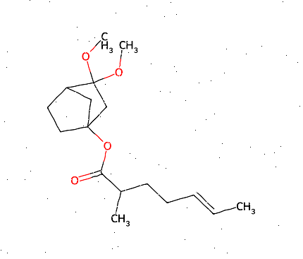 CC=CCCC(C)C(=O)OC12CCC(C1)C(OC)(OC)C2